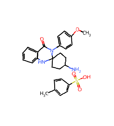 COc1ccc(N2C(=O)c3ccccc3NC23CCC(N)CC3)cc1.Cc1ccc(S(=O)(=O)O)cc1